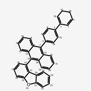 C1=CC(c2ccc(-c3c4ccccc4c(-c4cccc5oc6ccccc6c45)c4ccccc34)cc2)=CCC1